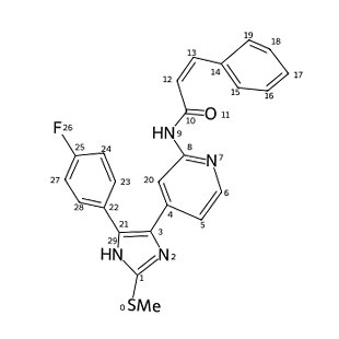 CSc1nc(-c2ccnc(NC(=O)/C=C\c3ccccc3)c2)c(-c2ccc(F)cc2)[nH]1